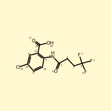 O=C(CCC(F)(F)F)Nc1ccc(Cl)cc1C(=O)O